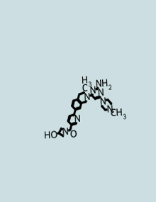 CC1Cc2ccc(-c3ccc(C(=O)N4CC(O)C4)cn3)cc2CN1c1cc(N2CCN(C)CC2)nc(N)n1